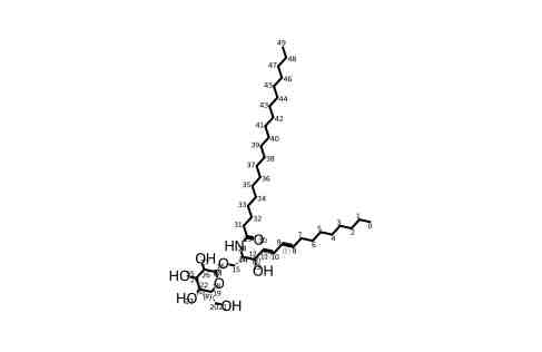 CCCCCCCC/C=C/C=C/[C@@H](O)[C@H](CO[C@@H]1O[C@H](CO)[C@@H](O)C(O)C1O)NC(=O)CCCCCCCCCCCCCCCCCCC